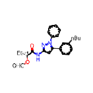 CCCCc1cccc(-c2cc(NC(=O)[C@@H](CC)OC=O)nn2-c2ccccc2)c1